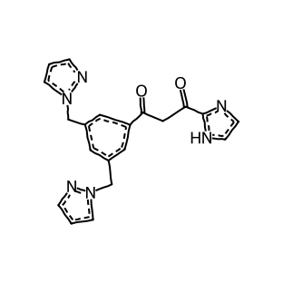 O=C(CC(=O)c1ncc[nH]1)c1cc(Cn2cccn2)cc(Cn2cccn2)c1